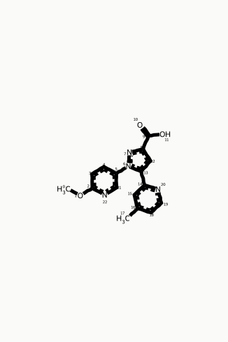 COc1ccc(-n2nc(C(=O)O)cc2-c2cc(C)ccn2)cn1